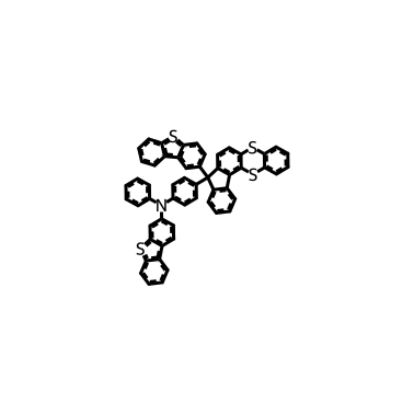 c1ccc(N(c2ccc(C3(c4ccc5sc6ccccc6c5c4)c4ccccc4-c4c3ccc3c4Sc4ccccc4S3)cc2)c2ccc3c(c2)sc2ccccc23)cc1